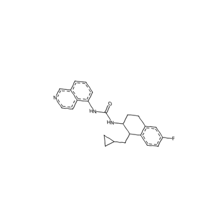 O=C(Nc1cccc2cnccc12)NC1CCc2cc(F)ccc2C1CC1CC1